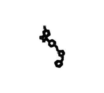 Fc1ccc2c(C3CCN(CCN4C=CN(Cc5ccccc5)C4)CC3)noc2c1